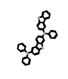 C1=CC(N(c2ccccc2)c2ccc3sc4cc(N(c5ccccc5)c5ccc6sc7ccccc7c6c5)ccc4c3c2)=CCC1